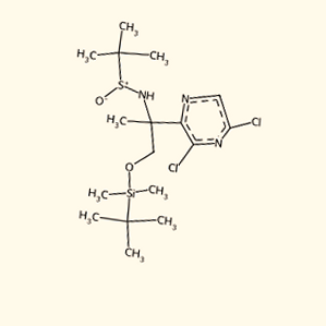 CC(CO[Si](C)(C)C(C)(C)C)(N[S+]([O-])C(C)(C)C)c1ncc(Cl)nc1Cl